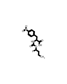 CCCC(F)OC(=O)NC(Cc1ccc([N+](=O)[O-])cc1)C(=O)O